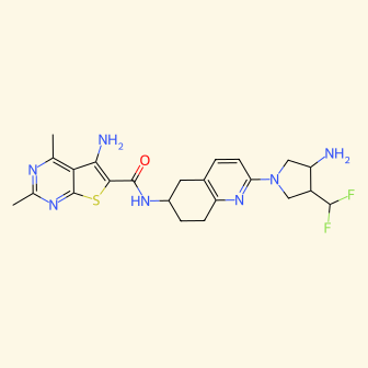 Cc1nc(C)c2c(N)c(C(=O)NC3CCc4nc(N5CC(N)C(C(F)F)C5)ccc4C3)sc2n1